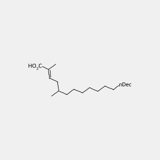 CCCCCCCCCCCCCCCCCC(C)CC=C(C)C(=O)O